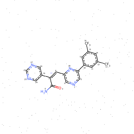 NC(=O)/C(=C\c1cncc(-c2cc(C(F)(F)F)cc(C(F)(F)F)c2)n1)c1cncnc1